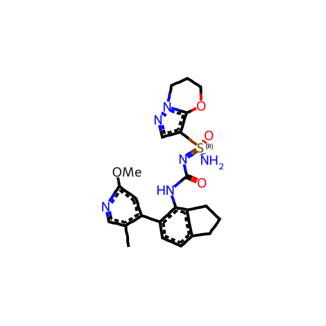 COc1cc(-c2ccc3c(c2NC(=O)N=[S@@](N)(=O)c2cnn4c2OCCC4)CCC3)c(C)cn1